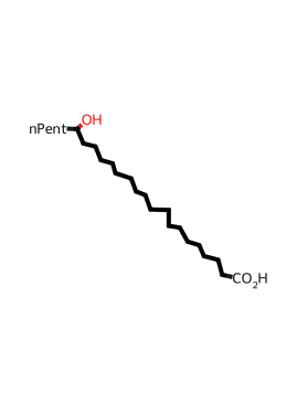 CCCCCC(O)CCCCCCCCCCCCCCCCCC(=O)O